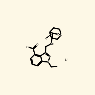 CCn1nc(CN[C@H]2CN3CCC2CC3)c2c(C(=O)[O-])cccc21.[Li+]